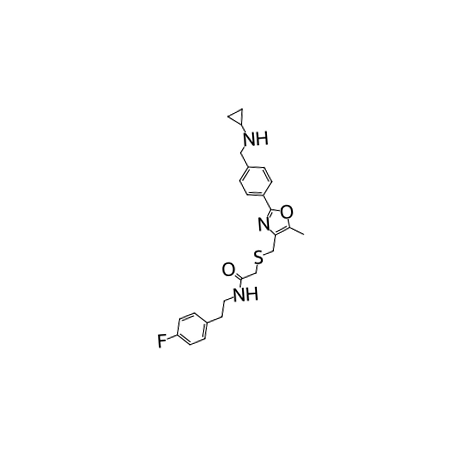 Cc1oc(-c2ccc(CNC3CC3)cc2)nc1CSCC(=O)NCCc1ccc(F)cc1